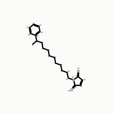 CC(CCCCCCCCCCN1C(=O)C=CC1=O)c1ccccc1